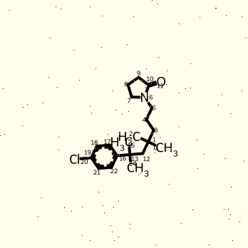 CC(C)(CCCN1CCCC1=O)CC(C)(C)c1ccc(Cl)cc1